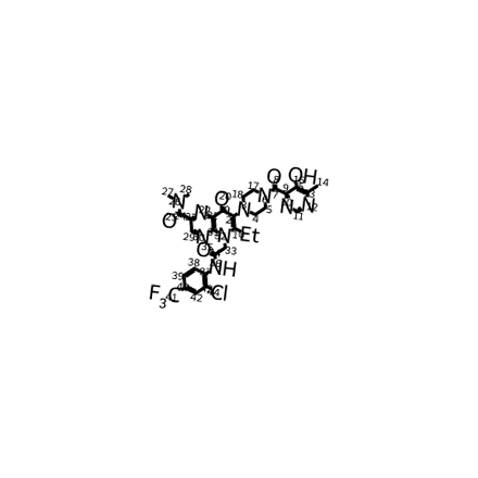 CCc1c(N2CCN(C(=O)c3ncnc(C)c3O)CC2)c(=O)c2nc(C(=O)N(C)C)cnc2n1CC(=O)Nc1ccc(C(F)(F)F)cc1Cl